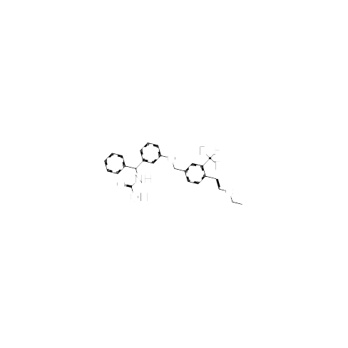 CCOC=Cc1ccc(COc2cccc(C(NC(=O)O)c3ccccc3)c2)cc1C(F)(F)F